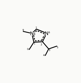 Cc1c(C(C)C)ncn1C